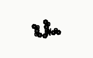 c1cc(-c2ccc3oc4cc5c(cc4c3c2)oc2ccccc25)cc(-c2nc(-c3ccc4c(c3)oc3ccccc34)nc(-c3ccc4c(c3)oc3ccccc34)n2)c1